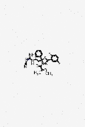 CO[C@@H](C)C(=O)N1N=C(c2cc(F)ccc2F)SC1(CCN/C(N)=N\C#N)c1ccccc1